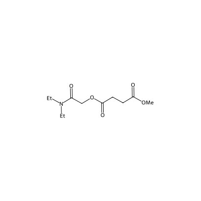 CCN(CC)C(=O)COC(=O)CCC(=O)OC